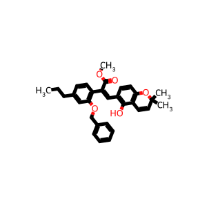 CCCc1ccc(C(=Cc2ccc3c(c2O)C=CC(C)(C)O3)C(=O)OC)c(OCc2ccccc2)c1